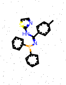 Cc1ccc(C(=NP(c2ccccc2)c2ccccc2)Nc2nccs2)cc1